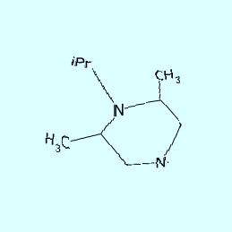 CC(C)N1C(C)C[N]CC1C